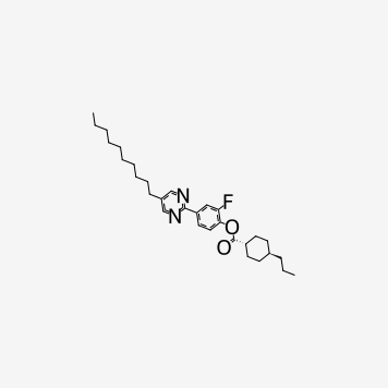 CCCCCCCCCCc1cnc(-c2ccc(OC(=O)[C@H]3CC[C@H](CCC)CC3)c(F)c2)nc1